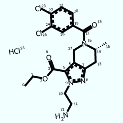 CCOC(=O)c1c2c(nn1CCN)C[C@@H](C)N(C(=O)c1ccc(Cl)c(Cl)c1)C2.Cl